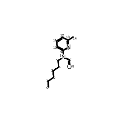 CCCCCCN(C=O)c1cccc(C)n1